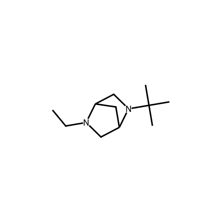 CCN1CC2CC1CN2C(C)(C)C